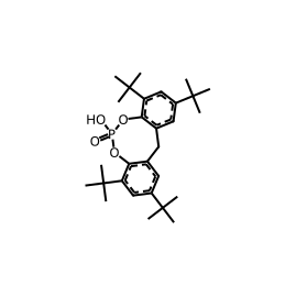 CC(C)(C)c1cc2c(c(C(C)(C)C)c1)OP(=O)(O)Oc1c(cc(C(C)(C)C)cc1C(C)(C)C)C2